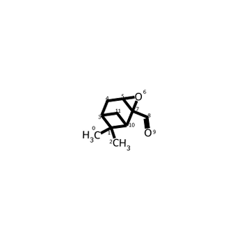 CC1(C)C2CC3OC3(C=O)C1C2